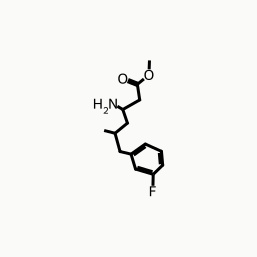 COC(=O)CC(N)CC(C)Cc1cccc(F)c1